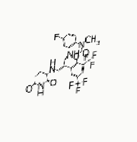 CN(C(=O)Oc1c(/C(C=N)=C/NC2CCC(=O)NC2=O)cc(C(F)(F)F)cc1C(F)(F)F)c1ccc(F)cc1